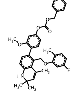 COc1cc(OC(=O)OCc2ccccc2)ccc1-c1ccc2c(c1COc1cc(F)ccc1C)C(C)=CC(C)(C)N2